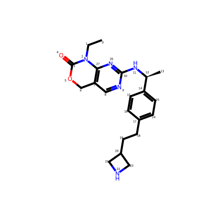 CCN1C(=O)OCc2cnc(N[C@@H](C)c3ccc(CCC4CNC4)cc3)nc21